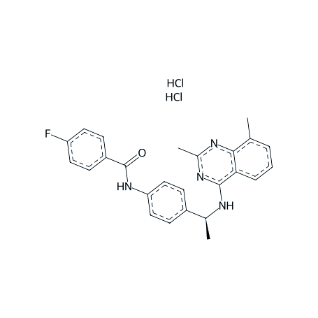 Cc1nc(N[C@@H](C)c2ccc(NC(=O)c3ccc(F)cc3)cc2)c2cccc(C)c2n1.Cl.Cl